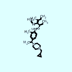 C=C/C(C)=C(/N=C\C)C(=C/C)\SNc1ccc(C(=C)N2CCN(CC3CC3)CC2)cc1C